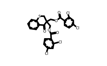 O=C(OCC1(COC(=O)c2ccc(Cl)cc2Cl)CSc2ccccc2C1=O)c1ccc(Cl)cc1Cl